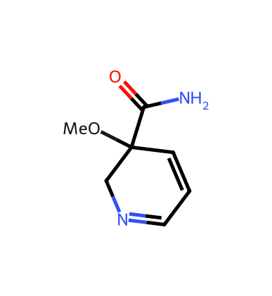 COC1(C(N)=O)C=CC=NC1